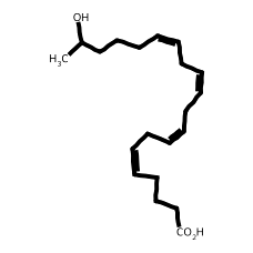 CC(O)CCC/C=C\C/C=C\C/C=C\C/C=C\CCCC(=O)O